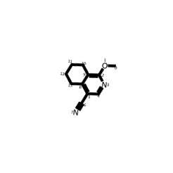 COc1ncc(C#N)c2c1CCCC2